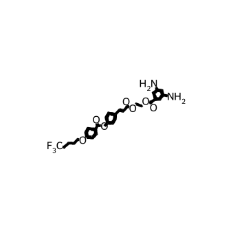 Nc1cc(N)cc(C(=O)OCCOC(=O)/C=C/c2ccc(OC(=O)c3ccc(OCCCCC(F)(F)F)cc3)cc2)c1